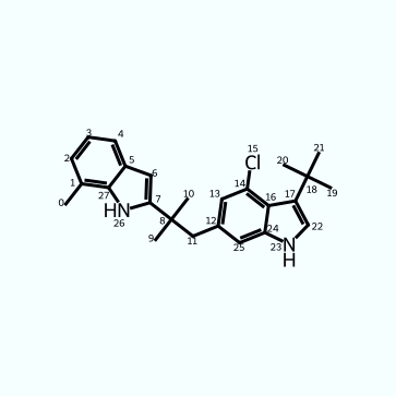 Cc1cccc2cc(C(C)(C)Cc3cc(Cl)c4c(C(C)(C)C)c[nH]c4c3)[nH]c12